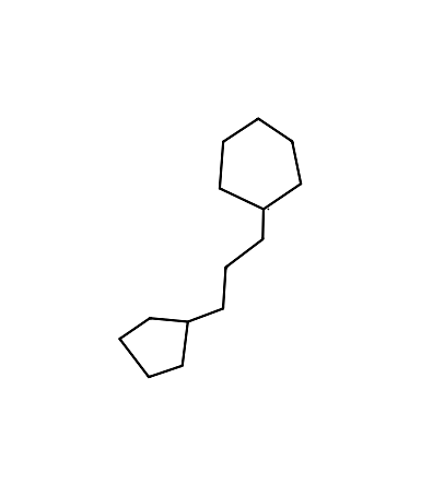 C1CC[C](CCCC2CCCC2)CC1